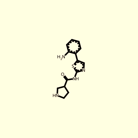 Nc1ccccc1-c1cnc(NC(=O)C2CCNC2)s1